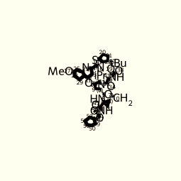 C=C[C@@H]1C[C@]1(NC(=O)[C@@H]1C[C@@H](Oc2cc(-c3nc4c(s3)CCC4)nc3cc(OC)ccc23)CN1C(=O)[C@@H](NC(=O)OC(C)(C)C)C(C)C)C(=O)NS(=O)(=O)c1ccccc1